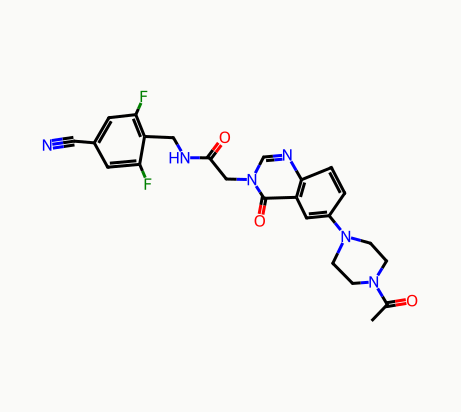 CC(=O)N1CCN(c2ccc3ncn(CC(=O)NCc4c(F)cc(C#N)cc4F)c(=O)c3c2)CC1